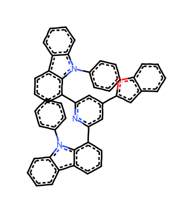 c1ccc(-n2c3ccccc3c3cccc(-c4cc(-c5cc6ccccc6o5)cc(-c5cccc6c7ccccc7n(-c7ccccc7)c56)n4)c32)cc1